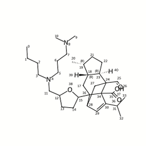 CCCCN(CCCN(C)C)CC1CCC(C23C[C@@H]4[C@H](C)CC[C@H]4C4(C=O)CC2C=C(C(C)C)C34C(=O)O)O1